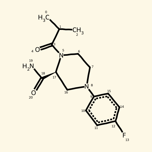 CC(C)C(=O)N1CCN(c2ccc(F)cc2)C[C@H]1C(N)=O